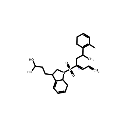 C=C/C=C(\CC(C)C1=C(F)C=CCC1)S(=O)(=O)N1CC(CCC(O)O)C2=CC=CCC21